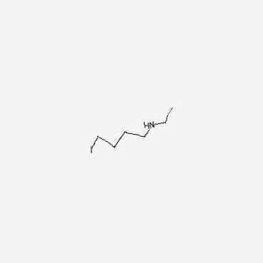 CCNCCCCI